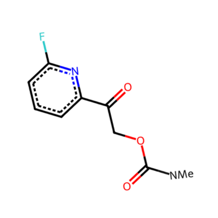 CNC(=O)OCC(=O)c1cccc(F)n1